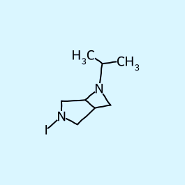 CC(C)N1CC2CN(I)CC21